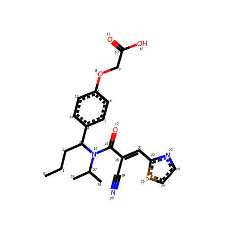 CCCC(c1ccc(OCC(=O)O)cc1)N(C(=O)C(C#N)=Cc1nccs1)C(C)C